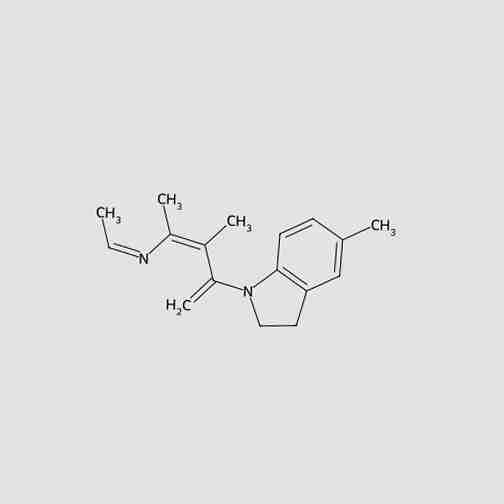 C=C(/C(C)=C(C)\N=C/C)N1CCc2cc(C)ccc21